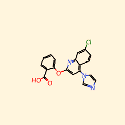 O=C(O)c1ccccc1Oc1cc(-n2ccnc2)c2ccc(Cl)cc2n1